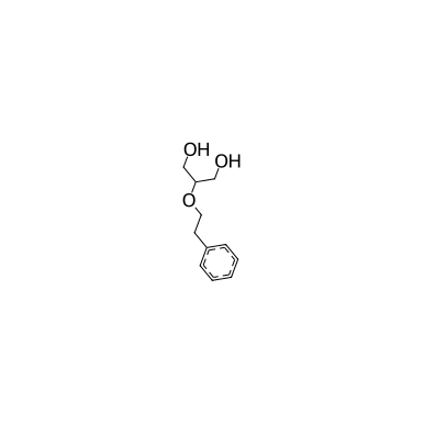 OCC(CO)OCCc1ccccc1